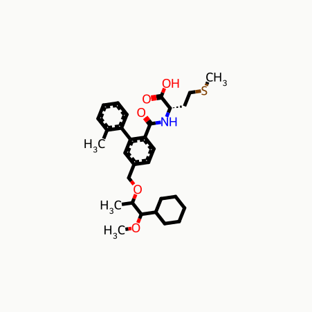 COC(C1CCCCC1)C(C)OCc1ccc(C(=O)N[C@@H](CCSC)C(=O)O)c(-c2ccccc2C)c1